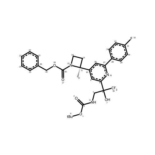 CC(C)(C)OC(=O)NCC(O)(c1cc([C@]2(C)CCN2C(=O)OCc2ccccc2)cc(-c2ccc(F)cc2)n1)C(F)(F)F